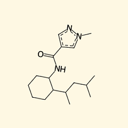 CC(C)CC(C)C1CCCCC1NC(=O)c1cnn(C)c1